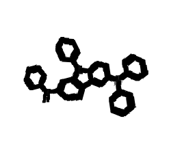 c1ccc(Nc2ccc3c4cc(N(c5ccccc5)c5ccccc5)ccc4n(-c4ccccc4)c3c2)cc1